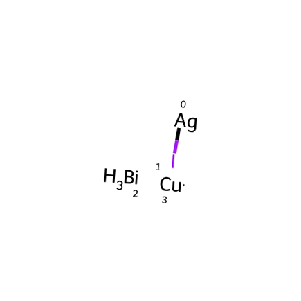 [Ag][I].[BiH3].[Cu]